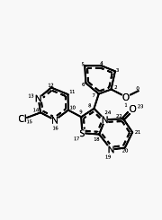 COc1ccccc1-c1c(-c2ccnc(Cl)n2)sc2nccc(=O)n12